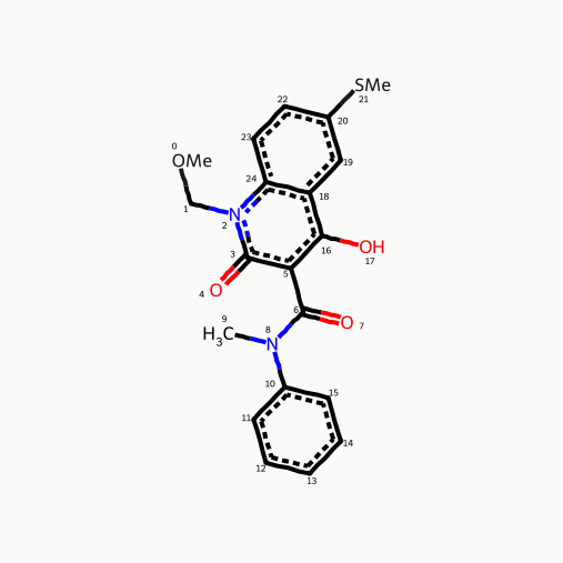 COCn1c(=O)c(C(=O)N(C)c2ccccc2)c(O)c2cc(SC)ccc21